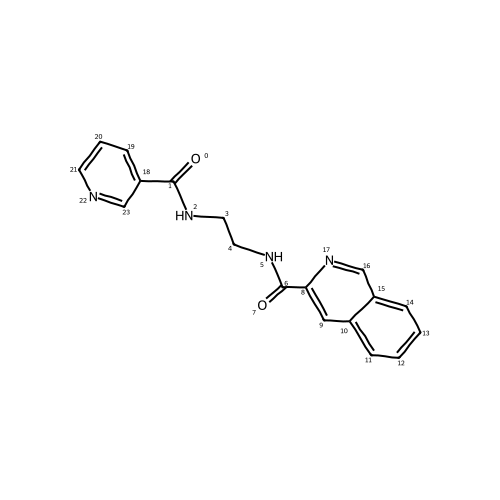 O=C(NCCNC(=O)c1cc2ccccc2cn1)c1cccnc1